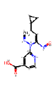 C=NN(/C(=C\CC1CC1)N=O)c1cc(C(=O)O)ccn1